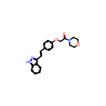 O=C(COc1ccc(C=Cc2n[nH]c3ccccc23)cc1)N1CCOCC1